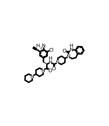 C#Cc1cc(C[C@@H](NC(=O)N2CCC(N3CCc4ccccc4NC3=O)CC2)C(=O)N2CCC(N3CCCCC3)CC2)cc(Cl)c1N